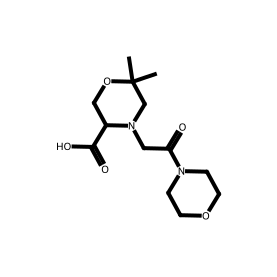 CC1(C)CN(CC(=O)N2CCOCC2)C(C(=O)O)CO1